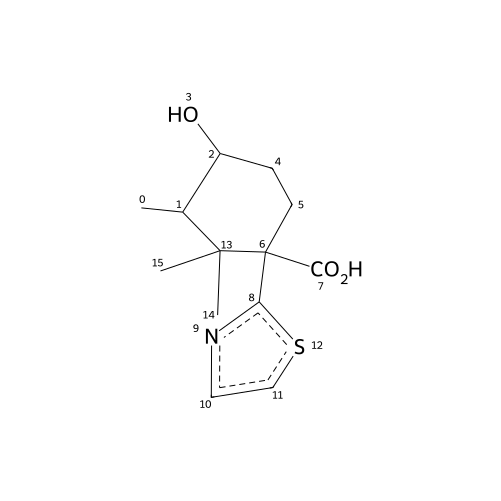 CC1C(O)CCC(C(=O)O)(c2nccs2)C1(C)C